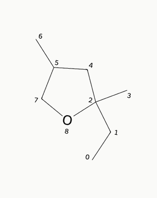 CCC1(C)CC(C)CO1